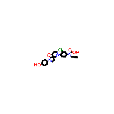 C#CCN(C(=O)O)c1ccc(N2CCCC3(CCN([C@H]4CC[C@H](O)CC4)C3=O)C2)c(Cl)c1